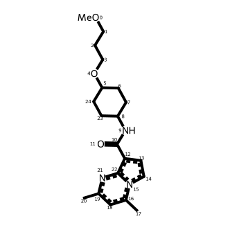 COCCCOC1CCC(NC(=O)c2ccn3c(C)cc(C)nc23)CC1